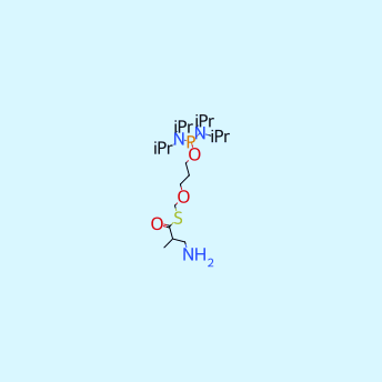 CC(CN)C(=O)SCOCCCOP(N(C(C)C)C(C)C)N(C(C)C)C(C)C